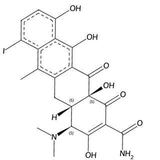 Cc1c2c(c(O)c3c(O)ccc(I)c13)C(=O)[C@]1(O)C(=O)C(C(N)=O)=C(O)[C@@H](N(C)C)[C@@H]1C2